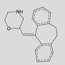 C(=C1c2ccccc2CCc2ccccc21)C1CNCCO1